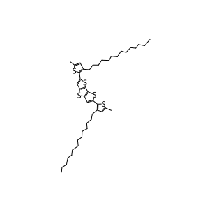 CCCCCCCCCCCCCCc1cc(C)sc1-c1cc2sc3cc(-c4sc(C)cc4CCCCCCCCCCCCCC)sc3c2s1